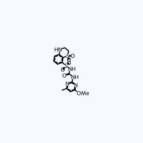 COc1cc(C)nc(NC(=O)NS(=O)(=O)c2cccc3c2S(=O)(=O)CCN3)n1